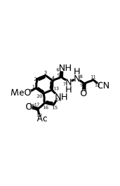 COc1ccc(C(=N)NNC(=O)CC#N)c2[nH]cc(C(=O)C(C)=O)c12